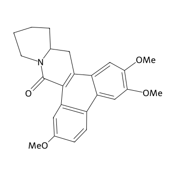 COc1ccc2c(c1)c1c(c3cc(OC)c(OC)cc32)CC2CCCCN2C1=O